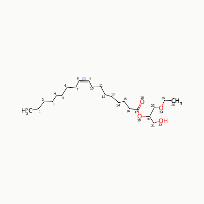 CCCCCCCC/C=C\CCCCCCCC(=O)OC(CO)COCC